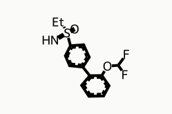 CCS(=N)(=O)c1ccc(-c2ccccc2OC(F)F)cc1